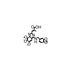 COc1cc2c(NCc3ccc4c(c3)OCO4)nc(/C=C(\C)C(=O)O)nc2c(OC)c1OC